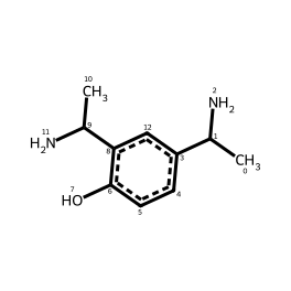 CC(N)c1ccc(O)c(C(C)N)c1